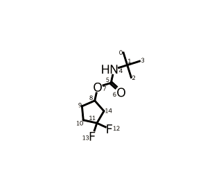 CC(C)(C)NC(=O)OC1CCC(F)(F)C1